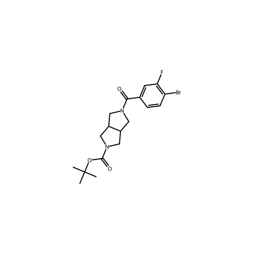 CC(C)(C)OC(=O)N1CC2CN(C(=O)c3ccc(Br)c(F)c3)CC2C1